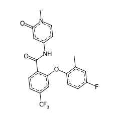 [CH2]n1ccc(NC(=O)c2ccc(C(F)(F)F)cc2Oc2ccc(F)cc2C)cc1=O